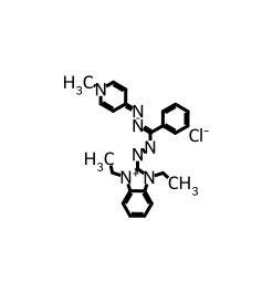 CCn1c(N=NC(=NN=c2ccn(C)cc2)c2ccccc2)[n+](CC)c2ccccc21.[Cl-]